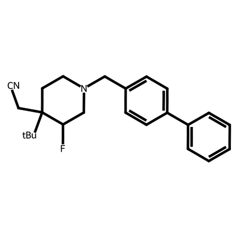 CC(C)(C)C1(CC#N)CCN(Cc2ccc(-c3ccccc3)cc2)CC1F